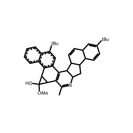 COC1(O)C2C3=C(c4cc(C(C)(C)C)c5ccccc5c4C21)C1C(CC2C4C=CC(C(C)(C)C)=CC4C=CC21)N=C3C